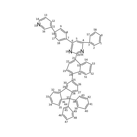 c1ccc(-c2cc(-c3ccc(-c4cccnc4)cc3)nc(-c3ccc(-c4ccc5c(c4)-c4ccccc4C5(c4ccccc4)c4ccccc4)c4ccccc34)n2)cc1